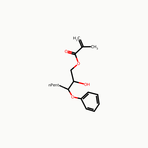 C=C(C)C(=O)OCC(O)C(CCCCC)Oc1ccccc1